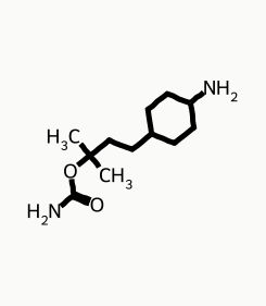 CC(C)(CCC1CCC(N)CC1)OC(N)=O